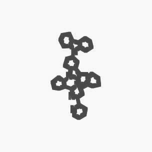 c1ccc(-c2cc(-c3ccccn3)nc(-c3ccccc3-n3c4ccccc4c4cc(-n5c6ccccc6c6ccccc65)ccc43)n2)cc1